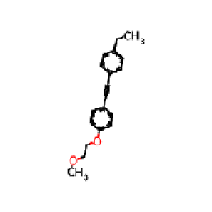 CCc1ccc(C#Cc2ccc(OCCOC)cc2)cc1